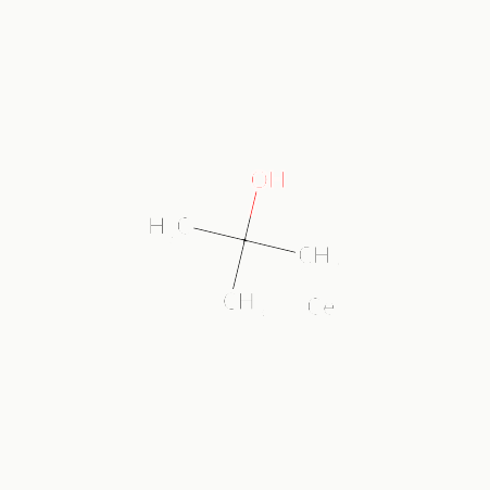 CC(C)(C)O.[Ce]